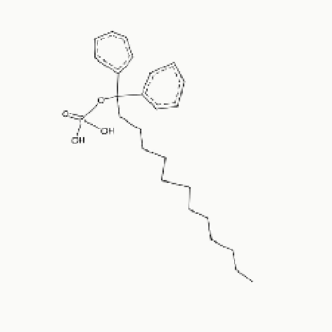 CCCCCCCCCCCCC(OP(=O)(O)O)(c1ccccc1)c1ccccc1